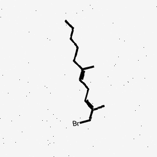 CCCCC/C(C)=C/C/C=C(\C)CBr